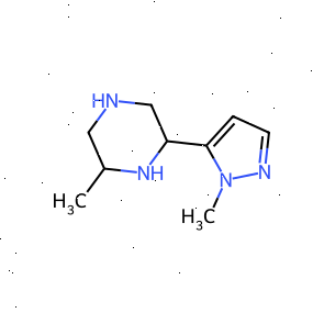 CC1CNCC(c2ccnn2C)N1